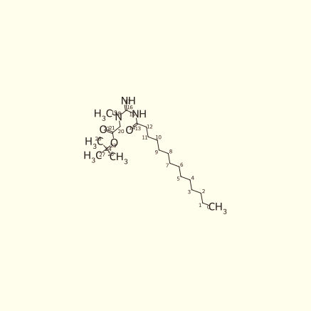 CCCCCCCCCCCCCC(=O)NC(=N)N(C)CC(=O)OC(C)(C)C